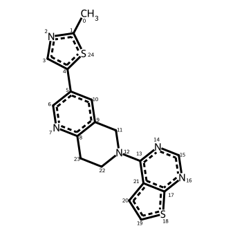 Cc1ncc(-c2cnc3c(c2)CN(c2ncnc4sccc24)CC3)s1